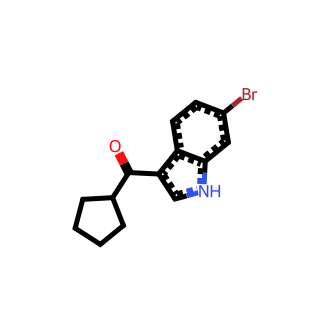 O=C(c1c[nH]c2cc(Br)ccc12)C1CCCC1